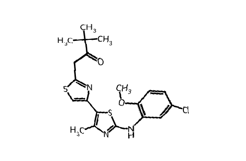 COc1ccc(Cl)cc1Nc1nc(C)c(-c2csc(CC(=O)C(C)(C)C)n2)s1